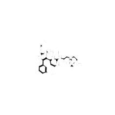 C#COc1nc(-c2cccc(O)c2)c(-c2ccnc(NCCN3CCNS3(=O)=O)n2)n1C